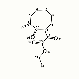 C=C1CCCCCC(C(=O)C(=O)OCC)C1=O